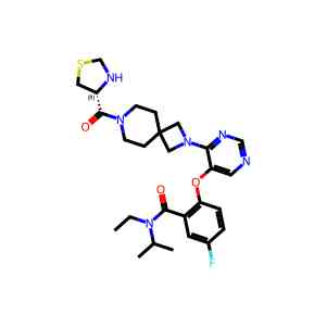 CCN(C(=O)c1cc(F)ccc1Oc1cncnc1N1CC2(CCN(C(=O)[C@@H]3CSCN3)CC2)C1)C(C)C